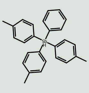 Cc1cc[c]([SbH]([c]2ccccc2)([c]2ccc(C)cc2)[c]2ccc(C)cc2)cc1